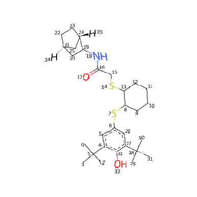 CC(C)(C)c1cc(SC2CCCCC2SCC(=O)NC2C[C@H]3CC[C@H]2C3)cc(C(C)(C)C)c1O